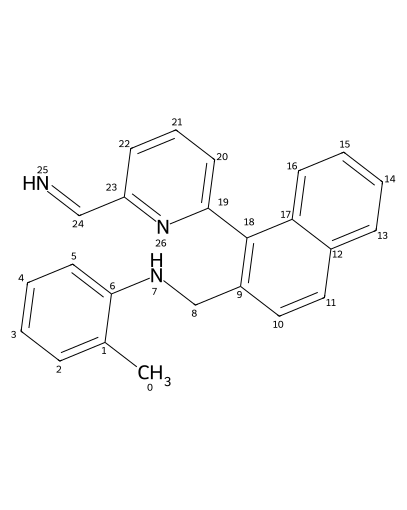 Cc1ccccc1NCc1ccc2ccccc2c1-c1cccc(C=N)n1